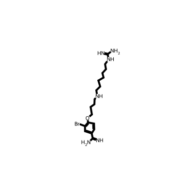 N=C(N)NCCCCCCCNCCCCOc1ccc(C(=N)N)cc1Br